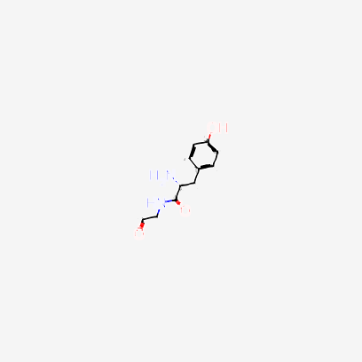 N[C@@H](Cc1ccc(O)cc1)C(=O)NC[C]=O